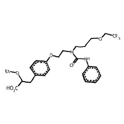 CCOC(Cc1ccc(OCCN(CCCOCC(F)(F)F)C(=O)Nc2ccccc2)cc1)C(=O)O